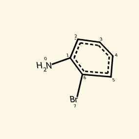 Nc1[c]cccc1Br